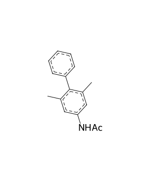 CC(=O)Nc1cc(C)c(-c2ccccc2)c(C)c1